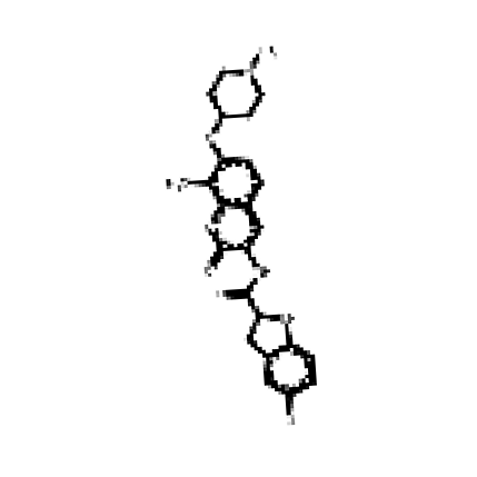 Cc1c(OC2CCN(C)CC2)ccc2cc(NC(=O)C3Cc4cc(Cl)ccc4N3)c(=O)oc12